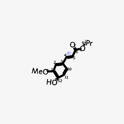 COc1cc(/C=C/C(=O)OC(C)C)ccc1O